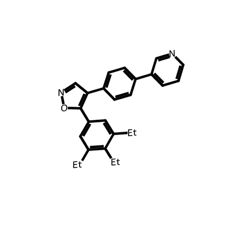 CCc1cc(-c2oncc2-c2ccc(-c3cccnc3)cc2)cc(CC)c1CC